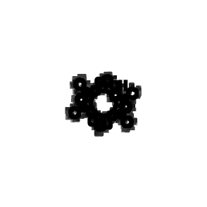 Oc1cc(OC2CCCCC2)c2cc1C(c1ccccc1)c1cc(c(OC3CCCCC3)cc1O)C(c1ccccc1)c1cc(c(O)cc1OC1CCCCC1)C(c1ccccc1)c1cc(c(OC3CCCCC3)cc1O)C2c1ccccc1